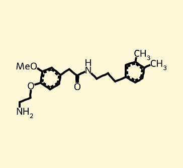 COc1cc(CC(=O)NCCCc2ccc(C)c(C)c2)ccc1OCCN